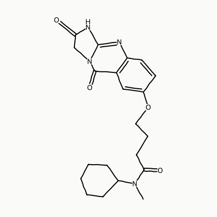 CN(C(=O)CCCOc1ccc2nc3n(c(=O)c2c1)CC(=O)N3)C1CCCCC1